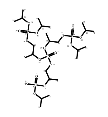 CC(C)OP(=O)(S)OC(C)CSP(=O)(OC(C)CSP(=O)(OC(C)C)OC(C)C)OC(C)CSP(=O)(OC(C)C)OC(C)C